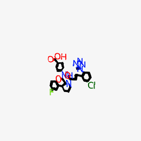 O=C(O)c1ccc(NC(=O)C2C(c3cccc(F)c3)CCCN2C(=O)C=Cc2cc(Cl)ccc2-n2cnnn2)cc1